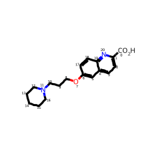 O=C(O)c1ccc2cc(OCCCN3CCCCC3)ccc2n1